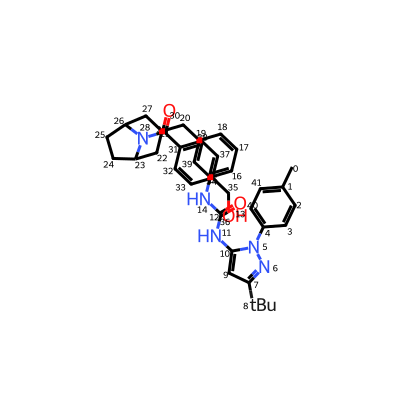 Cc1ccc(-n2nc(C(C)(C)C)cc2NC(=O)Nc2cccc(CC3CC4CCC(C3)N4C(=O)c3ccc(CO)cc3)c2)cc1